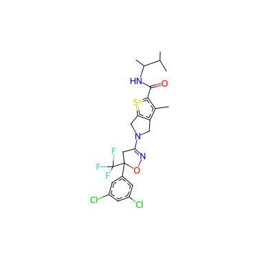 Cc1c(C(=O)NC(C)C(C)C)sc2c1CN(C1=NOC(c3cc(Cl)cc(Cl)c3)(C(F)(F)F)C1)C2